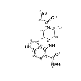 CNC(=O)c1cnc2[nH]ccc2c1N[C@@H]1CCN(C(=O)OC(C)(C)C)[C@H](C)C1